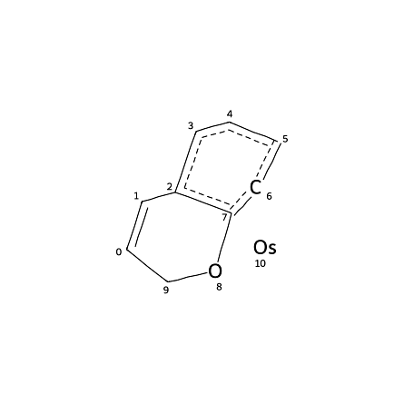 C1=Cc2ccccc2OC1.[Os]